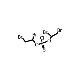 S=P(Cl)(OC(Br)CBr)OC(Br)CBr